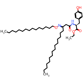 CCCCCCCCCCCCCCCO/N=C(\CCCCCCCCCCCCCCC)CC(=O)N[C@@H](Cc1ccc(O)cc1)C(=O)OCC